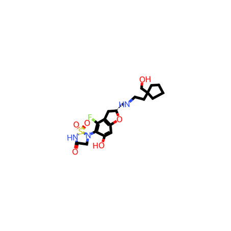 O=C1CN(c2c(O)cc3c(c2F)C[C@H](CNCCC2(CO)CCCC2)O3)S(=O)(=O)N1